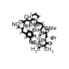 CC[C@H](C)[C@@H]([C@@H](CC(=O)N1CCC[C@H]1[C@H](OC)[C@@H](C)C(=O)N[C@H](CC#N)Cc1cccc([N+](=O)[O-])c1)OC)N(C)C(=O)[C@@H](NC(=O)[C@H](C)N(C)C)C(C)C